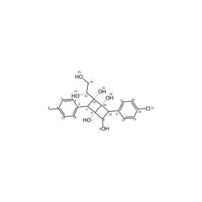 Cc1ccc(C2[C@]3(O)C(O)C(c4ccc(Cl)cc4)[C@]3(O)[C@]2(O)[C@H](O)CO)cc1